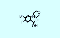 OC(O)c1cc(F)c(Br)cc1N1CCOCC1